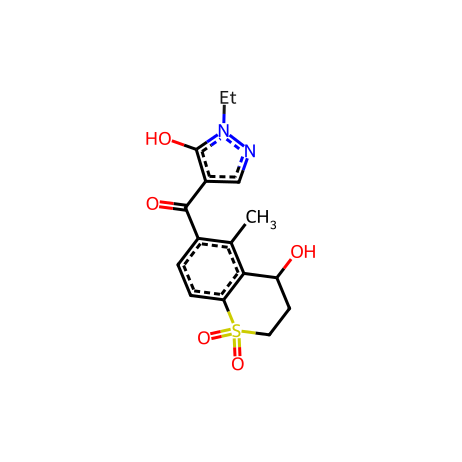 CCn1ncc(C(=O)c2ccc3c(c2C)C(O)CCS3(=O)=O)c1O